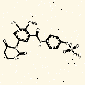 COc1c(C(=O)Nc2ccc(NS(C)(=O)=O)cc2)cc(N2C(=O)CCNC2=O)cc1C(C)C